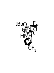 [2H]C([2H])(Nc1ccc(C(F)(F)F)cn1)[C@@H]1[C@H](C)OC(F)(F)CN1C(=O)OC(C)(C)C